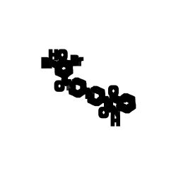 O=C(c1cc(Br)c(O)c(Br)c1)N1CCC(N2CCC(n3c(=O)[nH]c4ccccc4c3=O)CC2)CC1